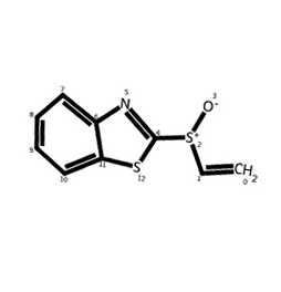 C=C[S+]([O-])c1nc2ccccc2s1